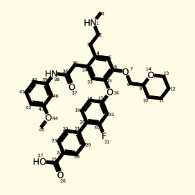 CNCCc1cc(OCC2CCCCO2)c(Oc2ccc(-c3ccc(C(=O)O)cc3)c(F)c2)cc1CC(=O)Nc1cccc(OC)c1